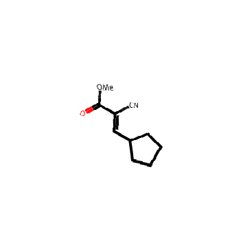 COC(=O)/C(C#N)=C/C1CCCC1